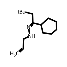 C=CCN/N=C(/CC(C)(C)C)C1CCCCC1